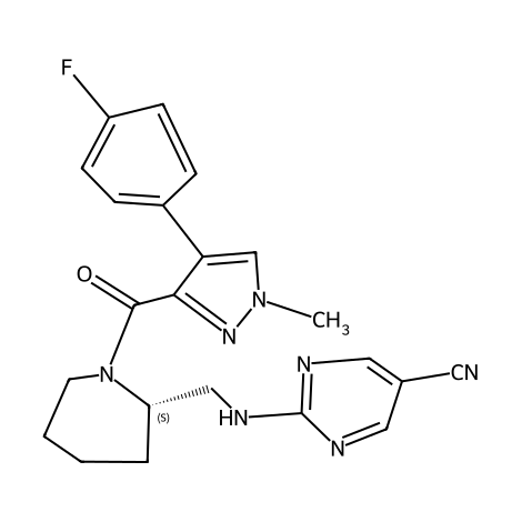 Cn1cc(-c2ccc(F)cc2)c(C(=O)N2CCCC[C@H]2CNc2ncc(C#N)cn2)n1